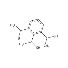 CC(S)c1cccc(C(C)S)c1C(C)S